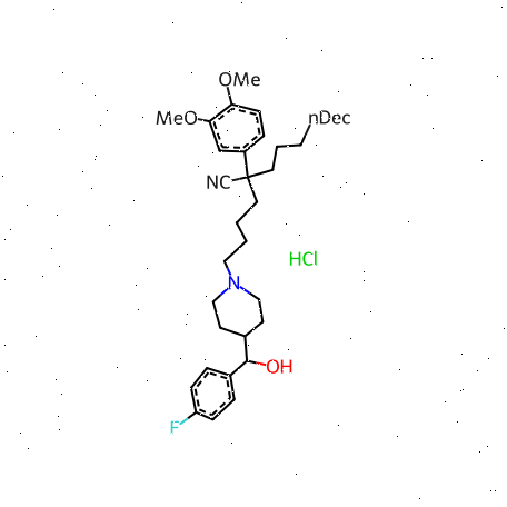 CCCCCCCCCCCCCC(C#N)(CCCCN1CCC(C(O)c2ccc(F)cc2)CC1)c1ccc(OC)c(OC)c1.Cl